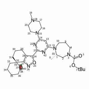 C[C@H]1CN(C(=O)OC(C)(C)C)CCCN1c1cc(N2CCN(C)CC2)nc(-c2onc3c2CCC[C@@]32CCCCC23OCCO3)n1